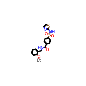 CCOc1ccccc1CNC(=O)c1ccc(S(=O)(=O)Nc2nccs2)cc1